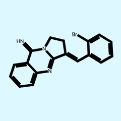 N=c1c2ccccc2nc2n1CCC2=Cc1ccccc1Br